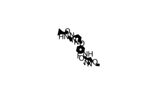 CCOc1cc(C(=O)Nc2cc(Oc3ccc4nc(NC(=O)C5CC5)cn4n3)ccc2F)n(C)n1